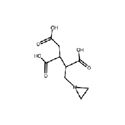 O=C(O)CC(C(=O)O)C(CN1CC1)C(=O)O